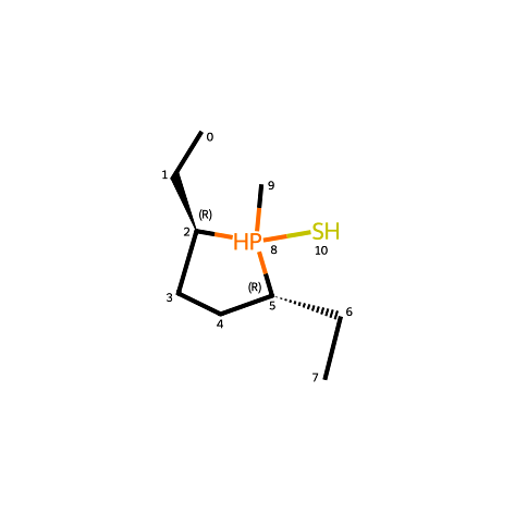 CC[C@@H]1CC[C@@H](CC)[PH]1(C)S